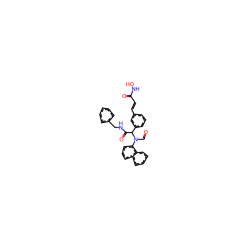 O=CN(c1cccc2ccccc12)C(C(=O)NCc1ccccc1)c1cccc(/C=C/C(=O)NO)c1